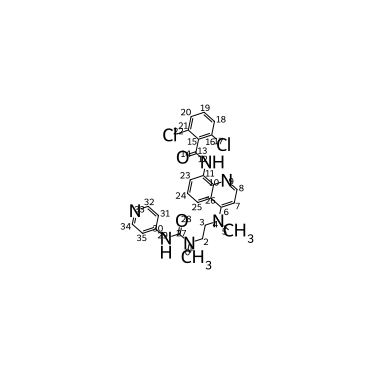 CN(CCN(C)c1ccnc2c(NC(=O)c3c(Cl)cccc3Cl)cccc12)C(=O)Nc1ccncc1